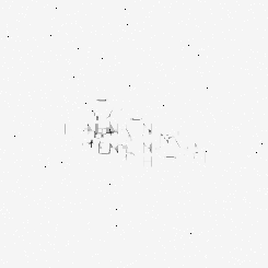 COc1ccc(Nc2nccc(Nc3ccccc3N(C)S(C)(=O)=O)c2C(N)=O)nc1